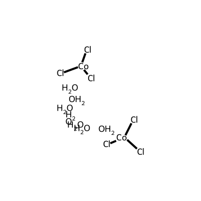 O.O.O.O.O.O.O.[Cl][Co]([Cl])[Cl].[Cl][Co]([Cl])[Cl]